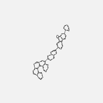 c1ccc(-c2ccc3c(c2)oc2cc(-c4ccc5cc(-c6cc7ccc8ccc9ccccc9c8c7c7ccccc67)ccc5c4)ccc23)cc1